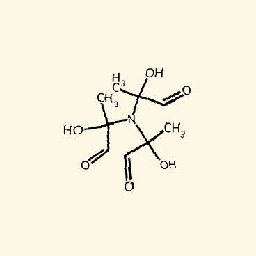 CC(O)(C=O)N(C(C)(O)C=O)C(C)(O)C=O